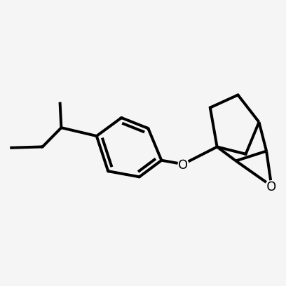 CCC(C)c1ccc(OC23CCC(C2)C2OC23)cc1